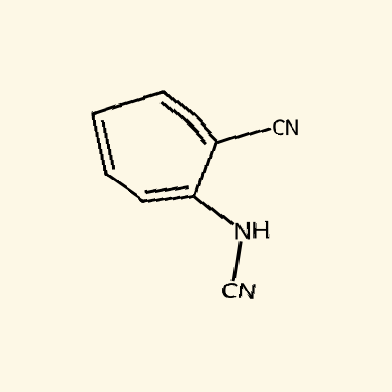 N#CNc1ccccc1C#N